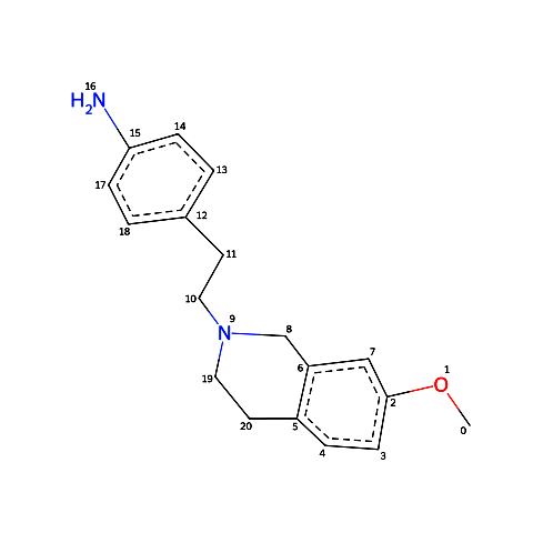 COc1ccc2c(c1)CN(CCc1ccc(N)cc1)CC2